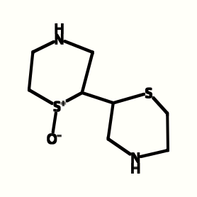 [O-][S+]1CCNCC1C1CNCCS1